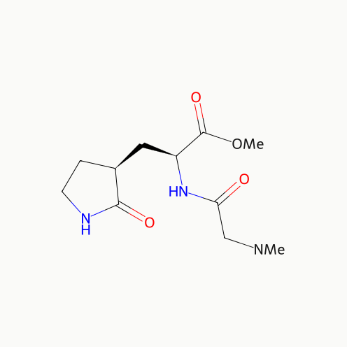 CNCC(=O)N[C@@H](C[C@@H]1CCNC1=O)C(=O)OC